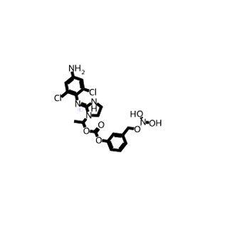 CC(OC(=O)Oc1cccc(CON(O)O)c1)N1CCN/C1=N\c1c(Cl)cc(N)cc1Cl